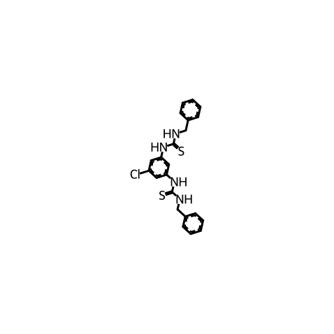 S=C(NCc1ccccc1)Nc1cc(Cl)cc(NC(=S)NCc2ccccc2)c1